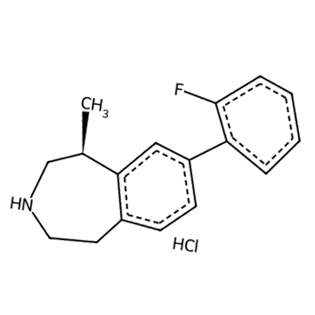 C[C@@H]1CNCCc2ccc(-c3ccccc3F)cc21.Cl